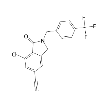 C#Cc1cc(Cl)c2c(c1)CN(Cc1ccc(C(F)(F)F)cc1)C2=O